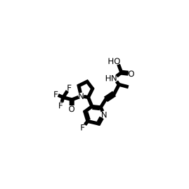 CC(C#Cc1ncc(F)cc1C1CCCN1C(=O)C(F)(F)F)NC(=O)O